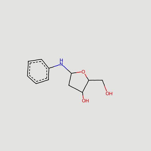 OCC1OC(Nc2ccccc2)CC1O